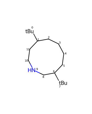 CC(C)(C)C1CCCCC(C(C)(C)C)CNCC1